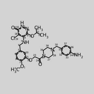 COc1ccc(CNc2c(OC(C)C)n[nH]c(=O)c2Cl)cc1OCC(=O)N1CCN(Cc2ccc(N)cc2)CC1